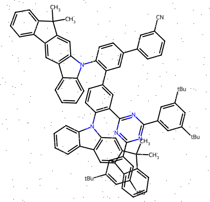 CC(C)(C)c1cc(-c2nc(-c3cc(C(C)(C)C)cc(C(C)(C)C)c3)nc(-c3cc(-c4cc(-c5cccc(C#N)c5)ccc4-n4c5ccccc5c5cc6c(cc54)C(C)(C)c4ccccc4-6)ccc3-n3c4ccccc4c4cc5c(cc43)C(C)(C)c3ccccc3-5)n2)cc(C(C)(C)C)c1